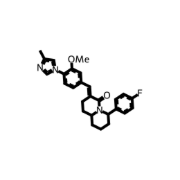 COc1cc(/C=C2\CCC3CCCC(c4ccc(F)cc4)N3C2=O)ccc1-n1cnc(C)c1